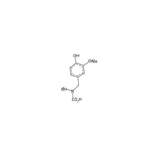 COc1cc(CN(C(=O)O)C(C)(C)C)ccc1O